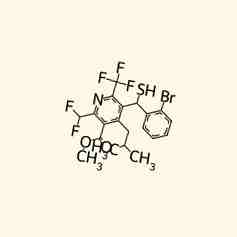 COC(=O)c1c(C(F)F)nc(C(F)(F)F)c(C(S)c2ccccc2Br)c1CC(C)C